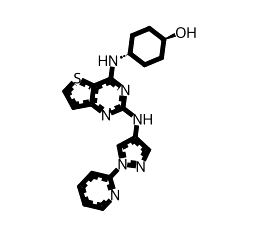 O[C@H]1CC[C@H](Nc2nc(Nc3cnn(-c4ccccn4)c3)nc3ccsc23)CC1